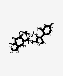 Cc1ccc(C2CSC(NC(=O)c3cc4ccoc4cc3O)=C2C(=O)O)c(F)c1